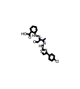 CC(=N/Nc1nc(-c2ccc(Cl)cc2)cs1)/C(C=O)=N/Nc1ccccc1C(=O)O